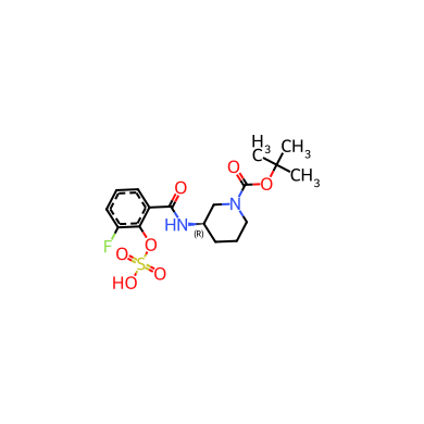 CC(C)(C)OC(=O)N1CCC[C@@H](NC(=O)c2cccc(F)c2OS(=O)(=O)O)C1